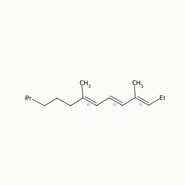 [CH2]C/C=C(C)/C=C/C=C(\C)CCCC(C)C